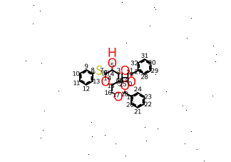 O=C(OC1C(O)[C@@H](Sc2ccccc2)OC2COC(c3ccccc3)O[C@@H]21)c1ccccc1